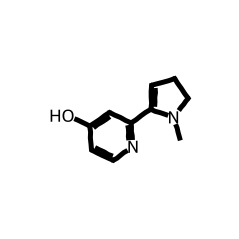 CN1CCC=C1c1cc(O)ccn1